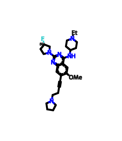 CCN1CCC(Nc2nc(N3CC[C@H](F)C3)nc3cc(C#CCCN4CCCC4)c(OC)cc23)CC1